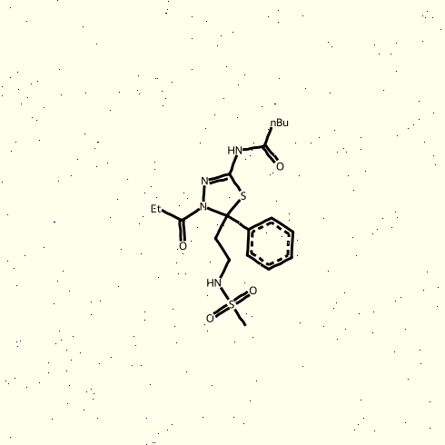 CCCCC(=O)NC1=NN(C(=O)CC)C(CCNS(C)(=O)=O)(c2ccccc2)S1